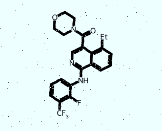 CCc1cccc2c(Nc3cccc(C(F)(F)F)c3F)ncc(C(=O)N3CCOCC3)c12